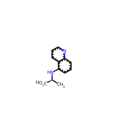 C[C@H](Nc1cccc2ncccc12)C(=O)O